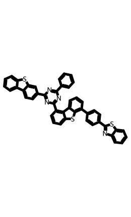 c1ccc(-c2nc(-c3ccc4c(c3)sc3ccccc34)nc(-c3cccc4sc5c(-c6ccc(-c7nc8ccccc8s7)cc6)cccc5c34)n2)cc1